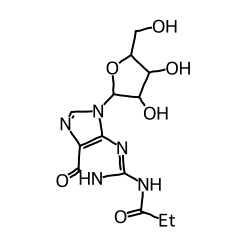 CCC(=O)Nc1nc2c(ncn2C2OC(CO)C(O)C2O)c(=O)[nH]1